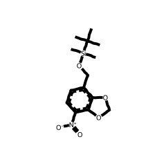 CC(C)(C)[Si](C)(C)OCc1ccc([N+](=O)[O-])c2c1OCO2